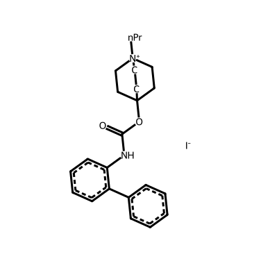 CCC[N+]12CCC(OC(=O)Nc3ccccc3-c3ccccc3)(CC1)CC2.[I-]